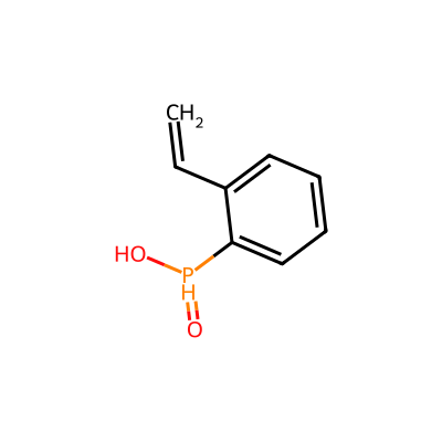 C=Cc1ccccc1[PH](=O)O